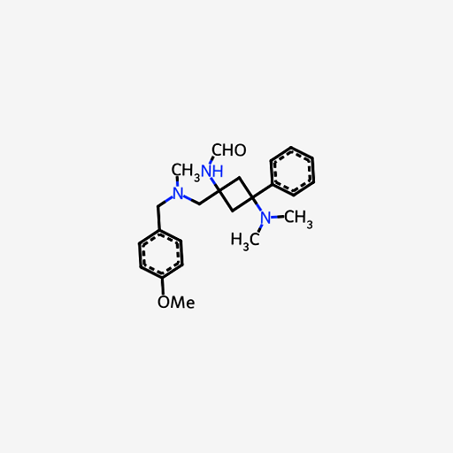 COc1ccc(CN(C)CC2(NC=O)CC(c3ccccc3)(N(C)C)C2)cc1